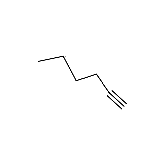 C#CCC[CH]C